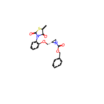 C=C1SC(=O)N(c2ccccc2OC[C@@H]2CN2C(=O)OCc2ccccc2)C1=O